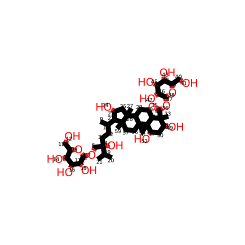 CC(CCC(O)(COC1OC(CO)C(O)C(O)C1O)C(C)C)C1C(O)CC2(C)C3CCC4C(C)(C(=O)OC5OC(CO)C(O)C(O)C5O)C(O)CC(O)C45CC35CCC12C